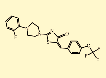 O=C1N=C(N2CCN(c3ccccc3F)CC2)S/C1=C/c1ccc(OC(F)(F)F)cc1